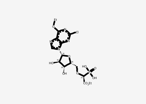 CCOC(=O)[C@@H](OC[C@H]1O[C@@H](n2cnc3c(OCC)nc(Cl)nc32)[C@H](O)[C@H]1O)P(=O)(O)O